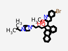 COc1nc2ccc(Br)cc2cc1C(c1ccccc1)C(O)(CCCCN1CC2CC1CN2CC(C)C)c1ccc2ccccc2c1